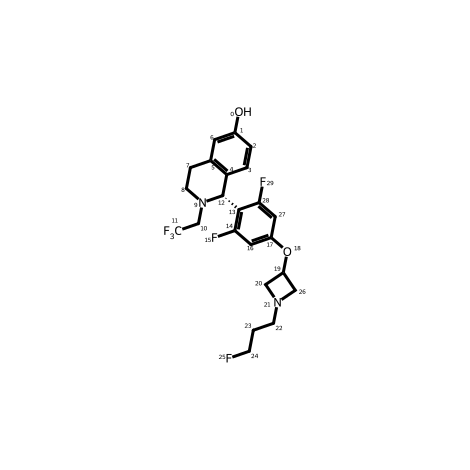 Oc1ccc2c(c1)CCN(CC(F)(F)F)[C@H]2c1c(F)cc(OC2CN(CCCF)C2)cc1F